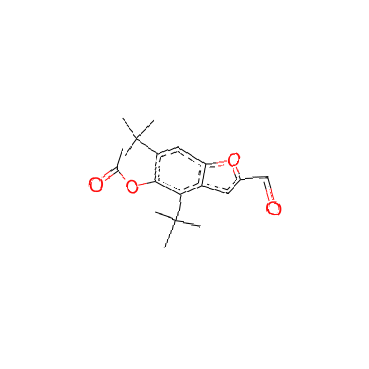 CC(=O)Oc1c(C(C)(C)C)cc2oc(C=O)cc2c1C(C)(C)C